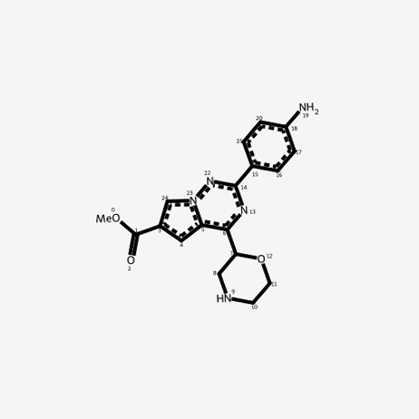 COC(=O)c1cc2c(C3CNCCO3)nc(-c3ccc(N)cc3)nn2c1